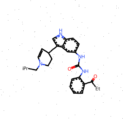 CCC(=O)c1ccccc1NC(=O)Nc1ccc2[nH]cc(C3C=CN(CC(C)C)CC3)c2c1